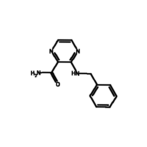 NC(=O)c1nccnc1NCc1ccccc1